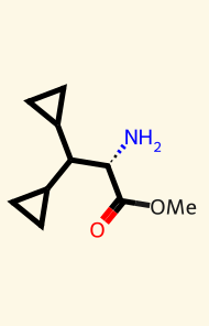 COC(=O)[C@@H](N)C(C1CC1)C1CC1